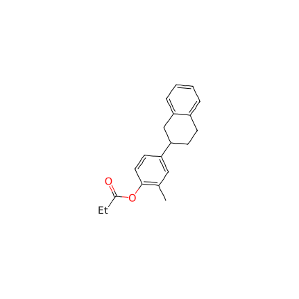 CCC(=O)Oc1ccc(C2CCc3ccccc3C2)cc1C